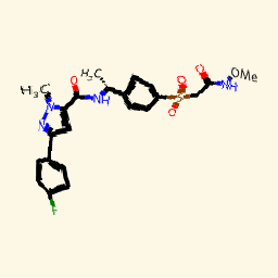 CONC(=O)CS(=O)(=O)c1ccc([C@@H](C)NC(=O)c2cc(-c3ccc(F)cc3)nn2C)cc1